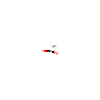 [O]=[U+2]=[O].[Pb+2]